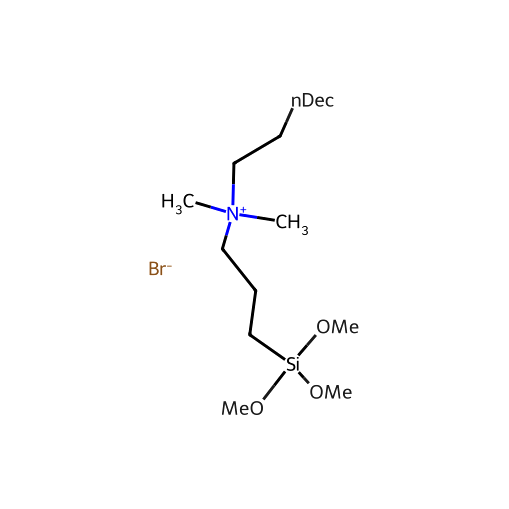 CCCCCCCCCCCC[N+](C)(C)CCC[Si](OC)(OC)OC.[Br-]